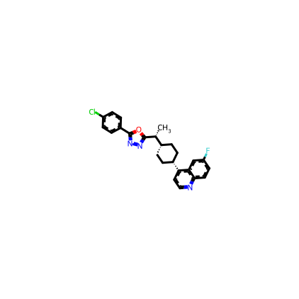 C[C@@H](c1nnc(-c2ccc(Cl)cc2)o1)[C@H]1CC[C@@H](c2ccnc3ccc(F)cc32)CC1